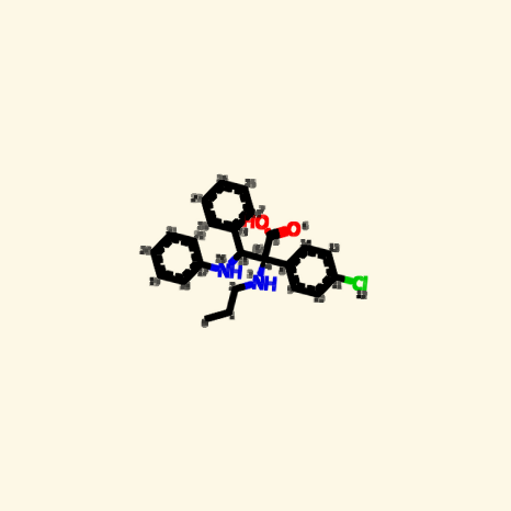 CCCN[C@@](C(=O)O)(c1ccc(Cl)cc1)C(Nc1ccccc1)c1ccccc1